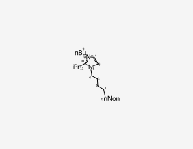 CCCCCCCCCCCCCn1cc[n+](CCCC)c1C(C)C